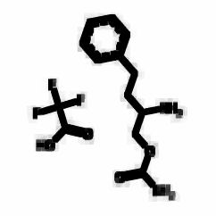 NC(=O)OCC(N)CCc1ccccc1.O=C(O)C(F)(F)F